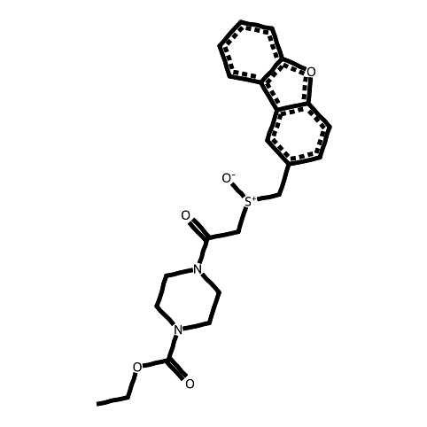 CCOC(=O)N1CCN(C(=O)C[S+]([O-])Cc2ccc3oc4ccccc4c3c2)CC1